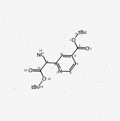 CC(C)(C)OC(=O)c1ccnc(C(C#N)C(=O)OC(C)(C)C)c1